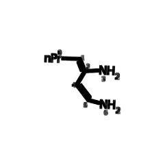 CCC/C=C(N)\C=C/N